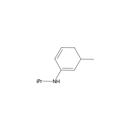 CC1C=C(NC(C)C)C=CC1